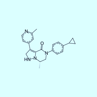 Cc1cc(C2=C3C(=O)N(c4ccc(C5CC5)cc4)C[C@H](C)N3NC2)ccn1